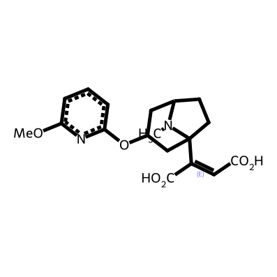 COc1cccc(OC2CC3CCC(/C(=C\C(=O)O)C(=O)O)(C2)N3C)n1